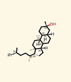 CC(C)[C@@H](C)CC[C@@H](C)[C@H]1CC[C@H]2[C@@H]3CC[C@H]4C[C@@](C)(O)CC[C@]4(C)[C@H]3CC[C@]12C